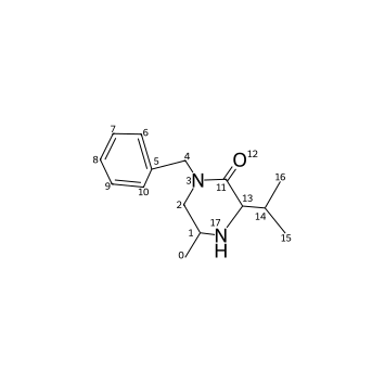 CC1CN(Cc2ccccc2)C(=O)C(C(C)C)N1